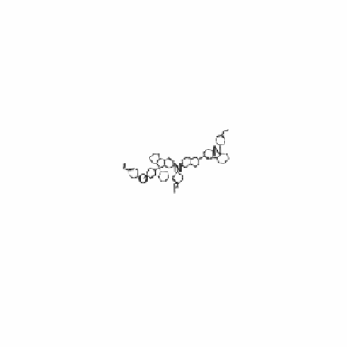 C=CC1=CCC(OC2C=CC(C3(C4CCCCC4)C4CC(N(C5CC=C(F)CC5)C5CCC6CC(C7=CC8C9CCCCC9N(C9CC=C(C=C)CC9)C8CC7)CCC6C5)C=CC4C4CCCCC43)CC2)CC1